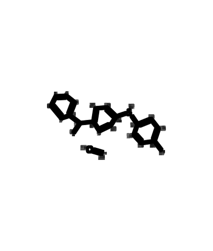 [CH2]C(c1ccccc1)c1ccc(Sc2ccc(C)cc2)cc1.[CH]=O